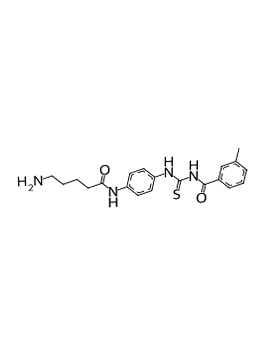 Cc1cccc(C(=O)NC(=S)Nc2ccc(NC(=O)CCCCN)cc2)c1